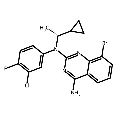 C[C@H](C1CC1)N(c1ccc(F)c(Cl)c1)c1nc(N)c2cccc(Br)c2n1